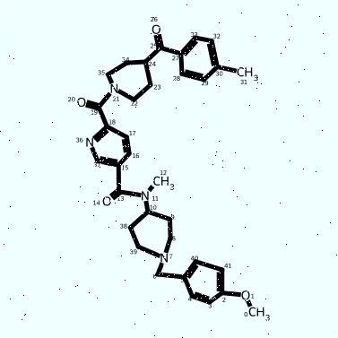 COc1ccc(CN2CCC(N(C)C(=O)c3ccc(C(=O)N4CCC(C(=O)c5ccc(C)cc5)CC4)nc3)CC2)cc1